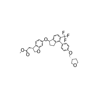 COC(=O)C[C@@H]1COc2cc(O[C@@H]3CCc4c3ccc(C(F)(F)F)c4-c3ccc(OC[C@@H]4CCOC4)cc3)ccc21